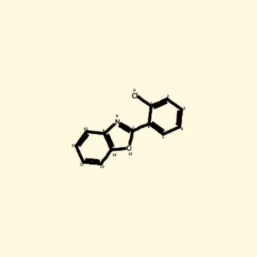 Clc1ccccc1-c1nc2[c]cccc2o1